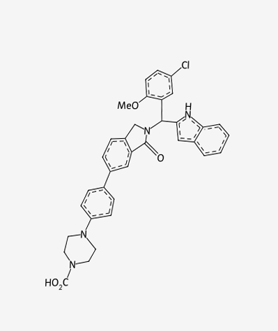 COc1ccc(Cl)cc1C(c1cc2ccccc2[nH]1)N1Cc2ccc(-c3ccc(N4CCN(C(=O)O)CC4)cc3)cc2C1=O